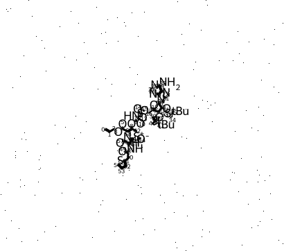 C=CCOC(=O)C1=C(OC(=O)NS(=O)(=O)OC[C@H]2O[C@@H](n3cnc4c(N)ncnc43)C(O[Si](C)(C)C(C)(C)C)C2O[Si](C)(C)C(C)(C)C)C[S+]([O-])[C@@H]2[C@H](NC(=O)Cc3cccs3)C(=O)N12